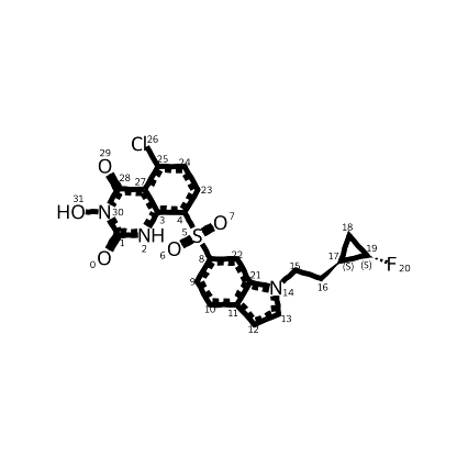 O=c1[nH]c2c(S(=O)(=O)c3ccc4ccn(CC[C@H]5C[C@@H]5F)c4c3)ccc(Cl)c2c(=O)n1O